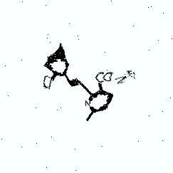 CCOC(=O)c1ccc(C)nc1C=Cc1ccccc1Cl